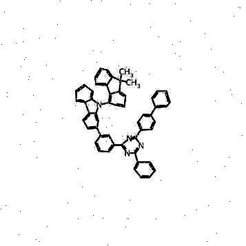 CC1(C)c2ccccc2-c2c(-n3c4ccccc4c4ccc(-c5cccc(-c6nc(-c7ccccc7)nc(-c7ccc(-c8ccccc8)cc7)n6)c5)cc43)cccc21